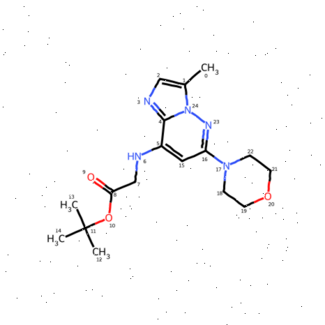 Cc1cnc2c(NCC(=O)OC(C)(C)C)cc(N3CCOCC3)nn12